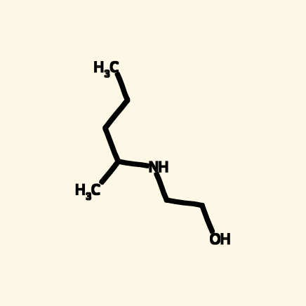 CCCC(C)NCCO